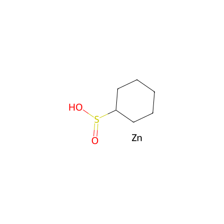 O=S(O)C1CCCCC1.[Zn]